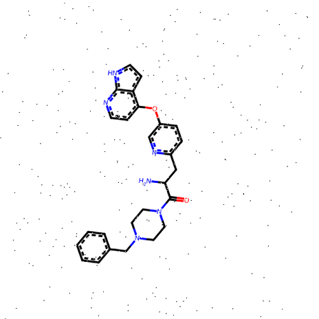 NC(Cc1ccc(Oc2ccnc3[nH]ccc23)cn1)C(=O)N1CCN(Cc2ccccc2)CC1